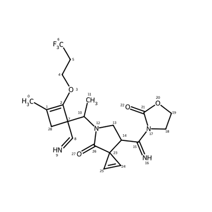 CC1=C(OCCC(F)(F)F)C(C=N)(C(C)N2CC(C(=N)N3CCOC3=O)C3(C=C3)C2=O)C1